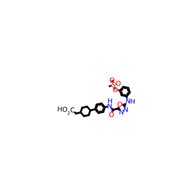 CS(=O)(=O)Oc1cccc(Nc2nnc(C(=O)Nc3ccc(C4CCC(CC(=O)O)CC4)cc3)o2)c1